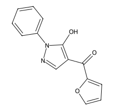 O=C(c1ccco1)c1cnn(-c2ccccc2)c1O